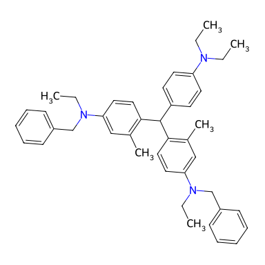 CCN(CC)c1ccc(C(c2ccc(N(CC)Cc3ccccc3)cc2C)c2ccc(N(CC)Cc3ccccc3)cc2C)cc1